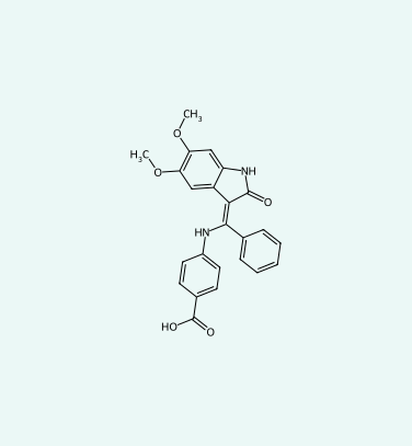 COc1cc2c(cc1OC)C(=C(Nc1ccc(C(=O)O)cc1)c1ccccc1)C(=O)N2